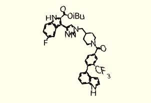 CC(C)COC(=O)c1[nH]c2ccc(F)cc2c1-c1cn(CC2CCN(C(=O)c3ccc(-c4cccc5[nH]ccc45)c(C(F)(F)F)c3)CC2)nn1